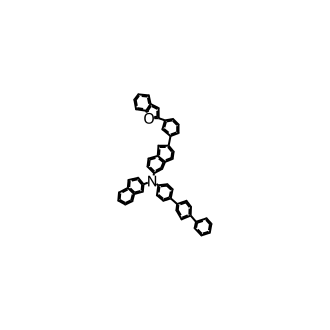 c1ccc(-c2ccc(-c3ccc(N(c4ccc5ccccc5c4)c4ccc5cc(-c6cccc(-c7cc8ccccc8o7)c6)ccc5c4)cc3)cc2)cc1